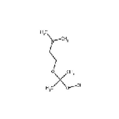 CCOC(C)(C)OCCN(C)C